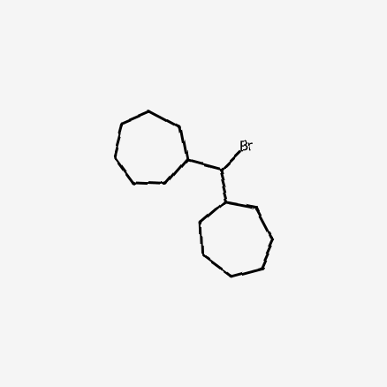 BrC(C1CCCCCC1)C1CCCCCC1